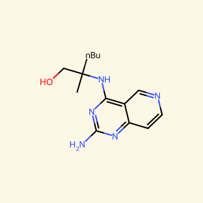 CCCCC(C)(CO)Nc1nc(N)nc2ccncc12